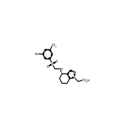 CC(=O)c1cc(C(F)(F)F)cc(S(=O)(=O)CN[C@@H]2CCCc3c2cnn3CC(=O)O)c1